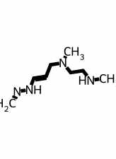 C=NN/C=C/CN(C)CCNC